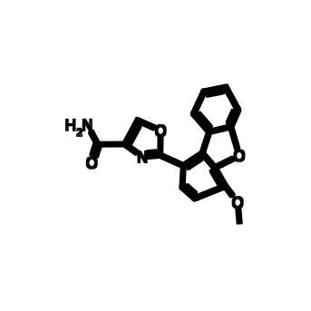 COc1ccc(-c2nc(C(N)=O)co2)c2c1oc1ccccc12